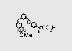 CC#C[C@@H](CC(=O)O)c1ccc(OCc2cccc(CN3CCc4nc(OC)ncc4C3)c2)cc1